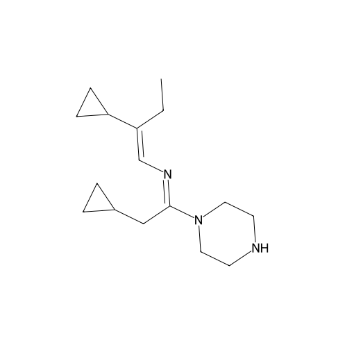 CC/C(=C\N=C(/CC1CC1)N1CCNCC1)C1CC1